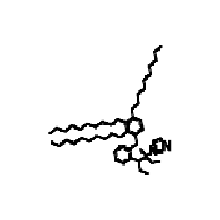 CCCCCCCCCCc1ccc(Cc2ccccc2C(CC)C(C)(CC)n2ccnc2)c(CCCCCCCCCC)c1CCCCCCCCCC